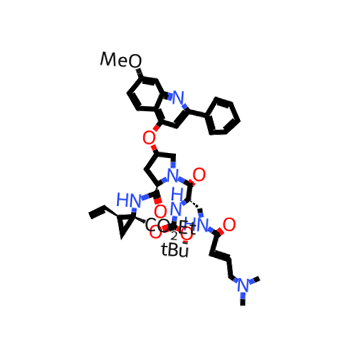 C=C[C@@H]1C[C@]1(NC(=O)[C@@H]1CC(Oc2cc(-c3ccccc3)nc3cc(OC)ccc23)CN1C(=O)[C@H](CNC(=O)C=CCN(C)C)NC(=O)OC(C)(C)C)C(=O)OCC